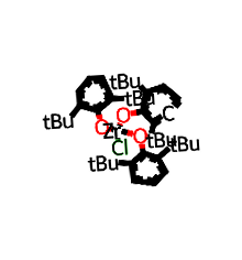 CC(C)(C)c1cccc(C(C)(C)C)c1[O][Zr]([Cl])([O]c1c(C(C)(C)C)cccc1C(C)(C)C)[O]c1c(C(C)(C)C)cccc1C(C)(C)C